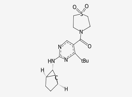 CC(C)(C)c1nc(N[C@@H]2C[C@H]3CC[C@@H]2C3)ncc1C(=O)N1CCS(=O)(=O)CC1